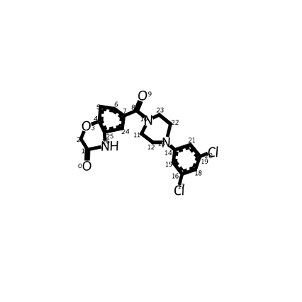 O=C1COc2ccc(C(=O)N3CCN(c4cc(Cl)cc(Cl)c4)CC3)cc2N1